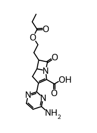 CCC(=O)OCCC1C(=O)N2C(C(=O)O)=C(c3nccc(N)n3)CC12